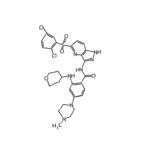 CN1CCN(c2ccc(C(=O)Nc3n[nH]c4ccc(S(=O)(=O)c5cc(Cl)ccc5Cl)nc34)c(NC3CCOCC3)c2)CC1